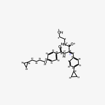 O=C(NCCO)/C(=C/c1ccc(C2CC2)cc1)NC(=O)c1ccc(OCCCC2CC2)cc1